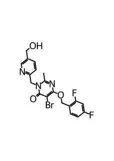 Cc1nc(OCc2ccc(F)cc2F)c(Br)c(=O)n1Cc1ccc(CO)cn1